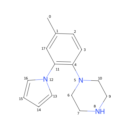 Cc1ccc(N2CCNCC2)c(-n2cccc2)c1